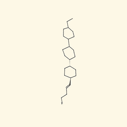 CCC1CCC(C2CCC([C@H]3CC[C@H](/C=C/CCF)CC3)CC2)CC1